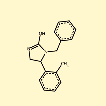 Cc1ccccc1C1CN=C(O)N1Cc1ccccc1